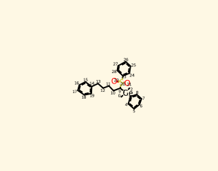 [CH3][Ge]([CH3])([c]1ccccc1)[CH](CCCCc1ccccc1)S(=O)(=O)c1ccccc1